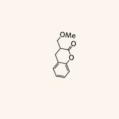 COCC1Cc2ccccc2OC1=O